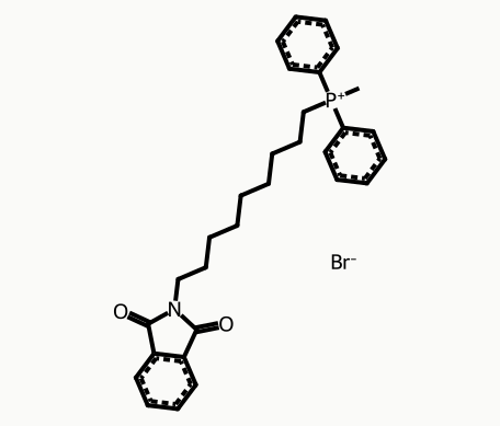 C[P+](CCCCCCCCCN1C(=O)c2ccccc2C1=O)(c1ccccc1)c1ccccc1.[Br-]